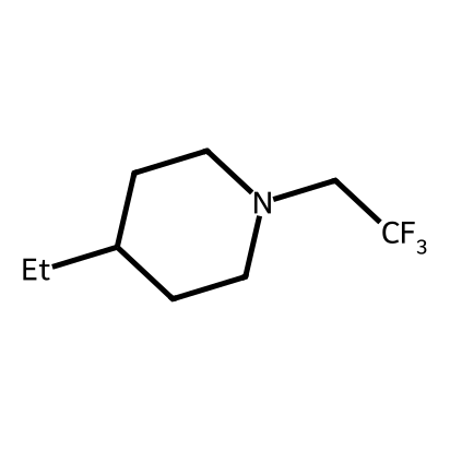 [CH2]CC1CCN(CC(F)(F)F)CC1